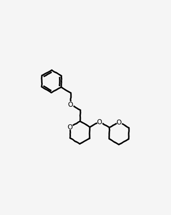 c1ccc(COCC2OCCCC2OC2CCCCO2)cc1